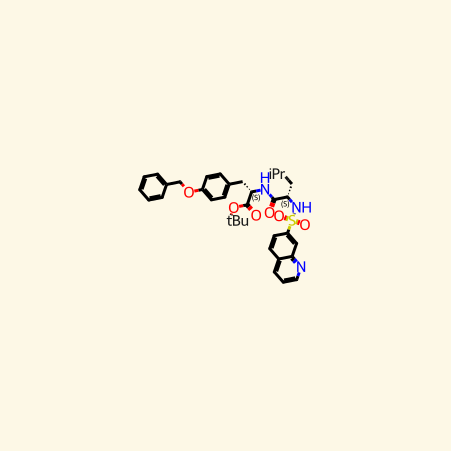 CC(C)C[C@H](NS(=O)(=O)c1ccc2cccnc2c1)C(=O)N[C@@H](Cc1ccc(OCc2ccccc2)cc1)C(=O)OC(C)(C)C